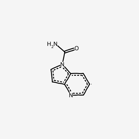 NC(=O)n1ccc2nc[c]cc21